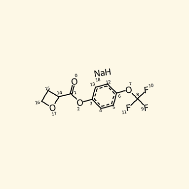 O=C(Oc1ccc(OC(F)(F)F)cc1)C1CCO1.[NaH]